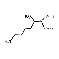 CCCCCN(CCCCC)C(CCCCN)C(=O)O